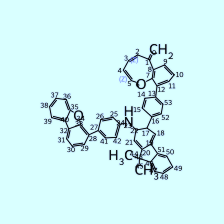 C=C1/C=C\C=C/Oc2c1cccc2-c1ccc(C2C=C3C(=CC2Nc2ccc(-c4cccc5c4oc4ccccc45)cc2)C(C)(C)c2ccccc23)cc1